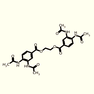 CC(=O)Nc1ccc(C(=O)OCCOC(=O)c2ccc(NC(C)=O)c(NC(C)=O)c2)cc1NC(C)=O